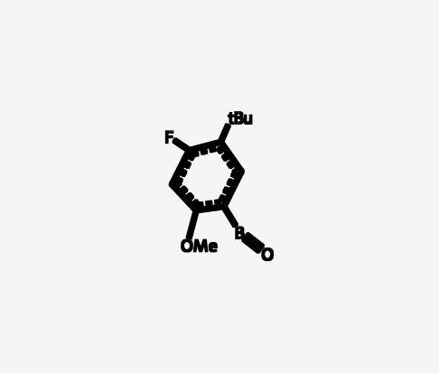 COc1cc(F)c(C(C)(C)C)cc1B=O